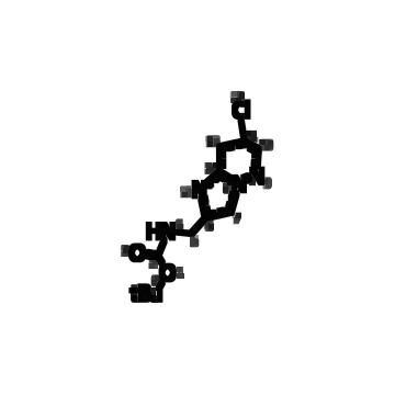 CC(C)(C)OC(=O)NCc1cn2ncc(Cl)cc2n1